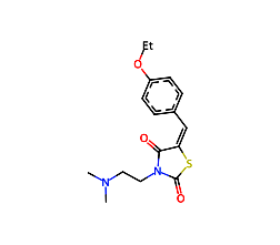 CCOc1ccc(/C=C2/SC(=O)N(CCN(C)C)C2=O)cc1